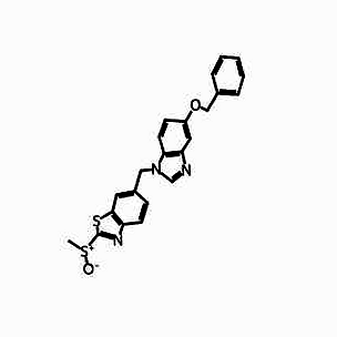 C[S+]([O-])c1nc2ccc(Cn3cnc4cc(OCc5ccccc5)ccc43)cc2s1